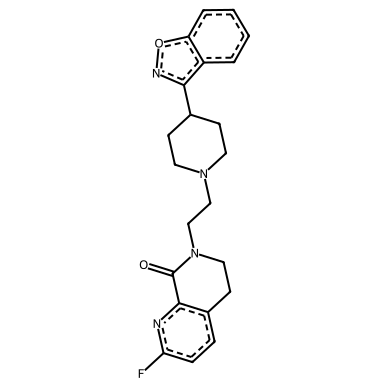 O=C1c2nc(F)ccc2CCN1CCN1CCC(c2noc3ccccc23)CC1